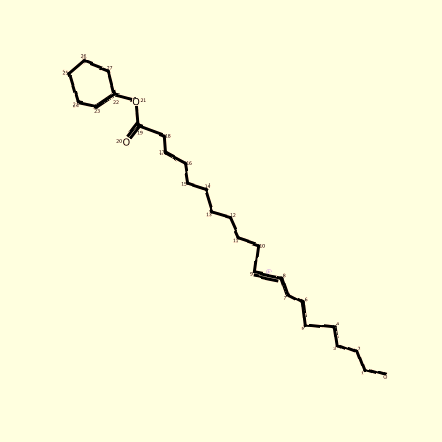 CCCCCCCC/C=C/CCCCCCCCCC(=O)OC1CCCCC1